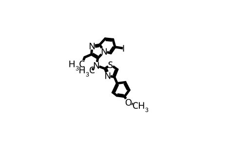 CCc1nc2ccc(I)cn2c1N(C)c1nc(-c2ccc(OC)cc2)cs1